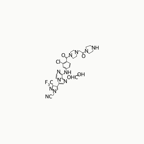 N#CCn1cc(-c2cnc3c(Nc4ccc(C(=O)N5CCN(CC(=O)N6CCNCC6)CC5)c(Cl)c4)nccn23)c(C(F)(F)F)n1.O=CO